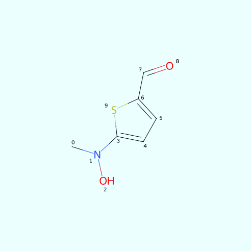 CN(O)c1ccc(C=O)s1